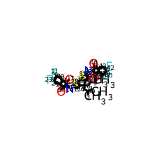 CCC(C)CC1(CC(C)CC)c2cc(N=c3c(=O)c4cc(F)c(F)cc4c3=O)sc2-c2sc(N=c3c(=O)c4cc(F)c(F)cc4c3=O)cc21